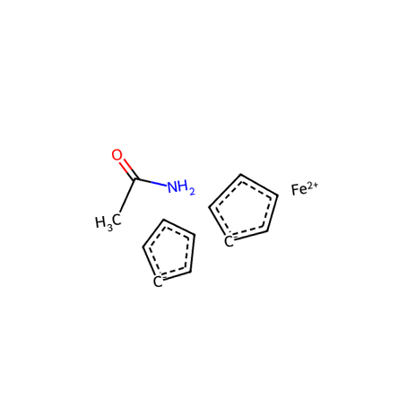 CC(N)=O.[Fe+2].c1cc[cH-]c1.c1cc[cH-]c1